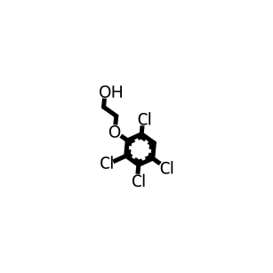 OCCOc1c(Cl)cc(Cl)c(Cl)c1Cl